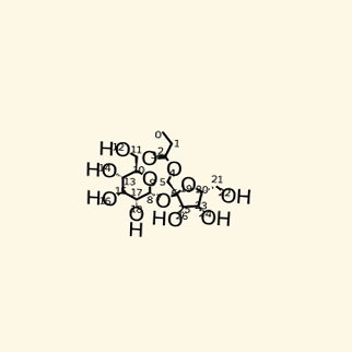 CCC(=O)OC[C@@]1(O[C@H]2O[C@H](CO)[C@@H](O)[C@H](O)[C@H]2O)O[C@H](CO)[C@@H](O)[C@@H]1O